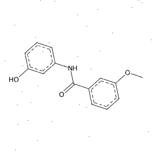 COc1cccc(C(=O)Nc2cccc(O)c2)c1